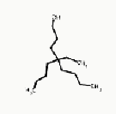 CCCCC(CC)(CCCC)CCCO